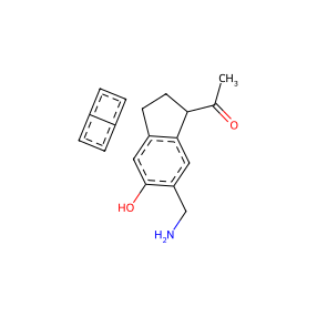 CC(=O)C1CCc2cc(O)c(CN)cc21.c1cc2ccc1-2